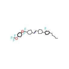 CCCCCc1ccc(C2CCC(/C=C/C3CCC(C(F)(F)Oc4ccc(OC(F)(F)F)cc4)CC3)CC2)c(F)c1